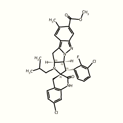 COC(=O)c1cc2nn3c(c2cc1C)C[C@H]1[C@@H]3[C@H](c2cccc(Cl)c2F)[C@@]2(Cc3ccc(Cl)cc3NC2=O)N1CC(C)C